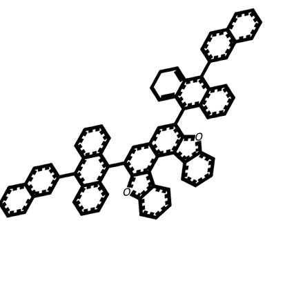 C1=c2c(-c3ccc4ccccc4c3)c3ccccc3c(-c3cc4cc(-c5c6ccccc6c(-c6ccc7ccccc7c6)c6ccccc56)c5oc6ccccc6c5c4c4c3oc3ccccc34)c2=CCC1